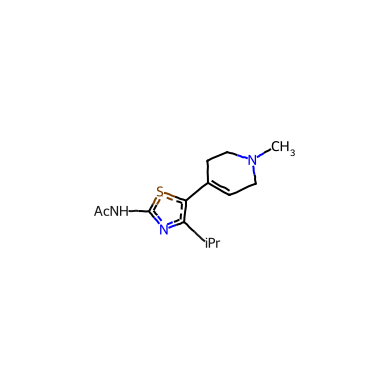 CC(=O)Nc1nc(C(C)C)c(C2=CCN(C)CC2)s1